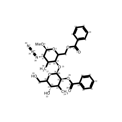 CO[C@H]1OC(COC(=O)c2ccccc2)[C@@H](O[C@@H]2OC(CO)[C@@H](O)C(C)[C@@H]2OC(=O)c2ccccc2)C(C)[C@@H]1N=[N+]=[N-]